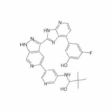 CC(C)(C)C(O)Nc1cncc(-c2cc3c(-c4nc5c(-c6cc(O)cc(F)c6)ccnc5[nH]4)n[nH]c3cn2)c1